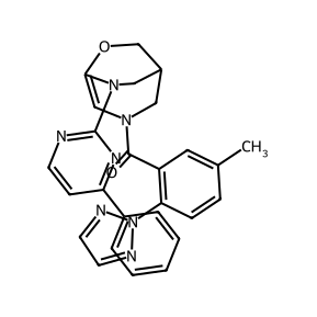 Cc1ccc(-n2nccn2)c(C(=O)N2C=C3OCC(C2)CN3c2nccc(-c3ccccc3)n2)c1